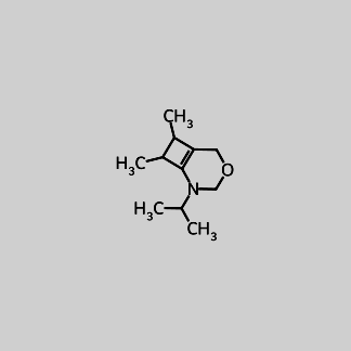 CC1C2=C(C1C)N(C(C)C)COC2